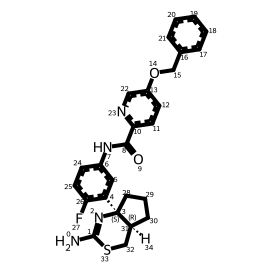 NC1=N[C@@]2(c3cc(NC(=O)c4ccc(OCc5ccccc5)cn4)ccc3F)CCC[C@H]2CS1